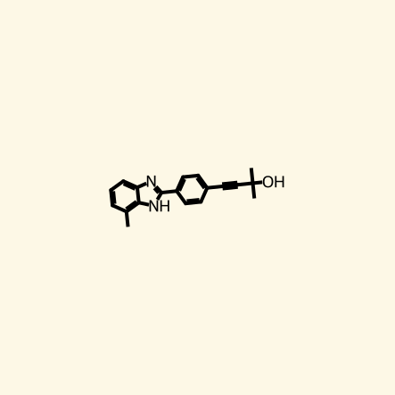 Cc1cccc2nc(-c3ccc(C#CC(C)(C)O)cc3)[nH]c12